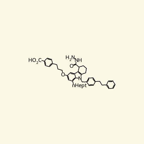 CCCCCCCc1cc(OCCCc2ccc(C(=O)O)cc2)cc2c3c(n(Cc4ccc(CCc5ccccc5)cc4)c12)CCCC3C(=O)NN